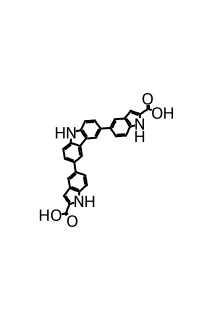 O=C(O)c1cc2cc(-c3ccc4[nH]c5ccc(-c6ccc7[nH]c(C(=O)O)cc7c6)cc5c4c3)ccc2[nH]1